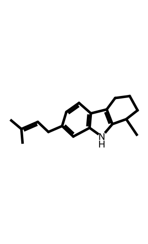 CC(C)=CCc1ccc2c3c([nH]c2c1)C(C)CCC3